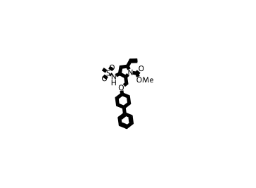 C=CC1CC(NS(C)(=O)=O)C(COC2CCC(c3ccccc3)CC2)N1C(=O)OC